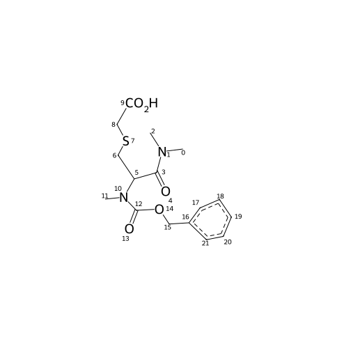 CN(C)C(=O)C(CSCC(=O)O)N(C)C(=O)OCc1ccccc1